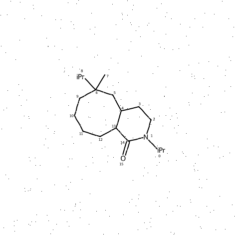 CC(C)N1CCC2CC(C)(C(C)C)CCCCC2C1=O